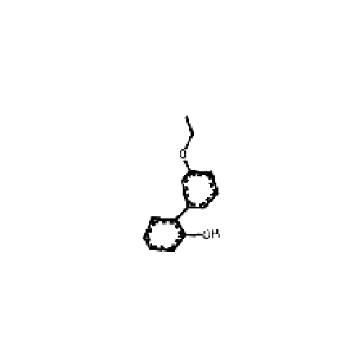 CCOc1cccc(-c2ccccc2O)c1